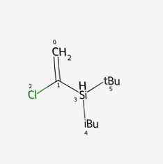 C=C(Cl)[SiH](C(C)CC)C(C)(C)C